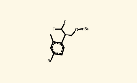 CCCCOC[C@@H](c1ccc(Br)cc1C)C(F)F